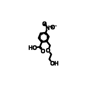 O=C(O)c1ccc([N+](=O)[O-])cc1COCCO